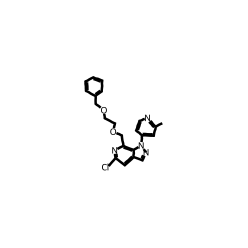 Cc1cc(-n2ncc3cc(Cl)nc(COCCOCc4ccccc4)c32)ccn1